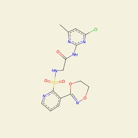 Cc1cc(Cl)nc(NC(=O)CNS(=O)(=O)c2ncccc2C2=NOCCO2)n1